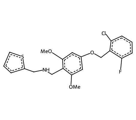 COc1cc(OCc2c(F)cccc2Cl)cc(OC)c1CNCc1cccs1